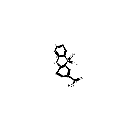 O=C(O)c1ccc2c(c1)S(=O)(=O)c1ccccc1S2